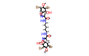 COC1=C(Br)[C@H](O)[C@@]2(C=C1Br)CC(C(=O)NCCCCCNC(=O)C1=NO[C@]3(C=C(Br)C(OC)=C(Br)[C@@H]3O)C1)=NO2